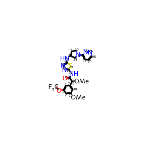 COc1cc(OC(F)(F)F)cc(C(OC)C(=O)Nc2nnc(N[C@@H]3CCN(c4cccnn4)C3)s2)c1